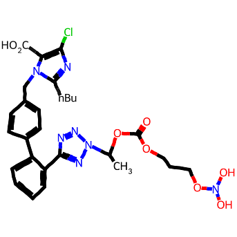 CCCCc1nc(Cl)c(C(=O)O)n1Cc1ccc(-c2ccccc2-c2nnn(C(C)OC(=O)OCCCON(O)O)n2)cc1